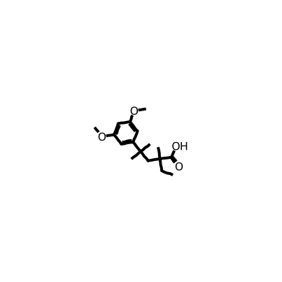 CCC(C)(CC(C)(C)c1cc(OC)cc(OC)c1)C(=O)O